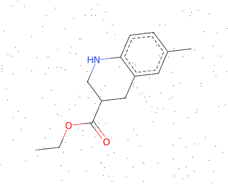 CCOC(=O)C1CNc2ccc(C)cc2C1